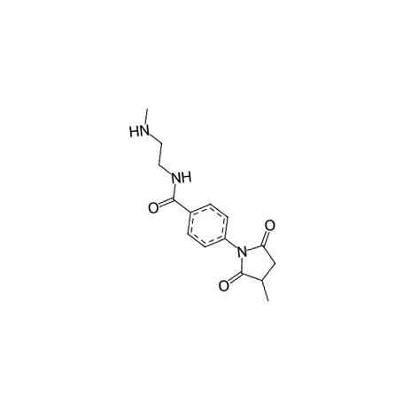 CNCCNC(=O)c1ccc(N2C(=O)CC(C)C2=O)cc1